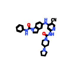 N#Cc1cnc(NC(=O)N2CCC(N3CCCC3)CC2)cc1Nc1ccc2c(ccn2C(=O)Nc2ccccc2)c1